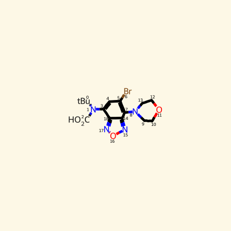 CC(C)(C)N(C(=O)O)c1cc(Br)c(N2CCOCC2)c2nonc12